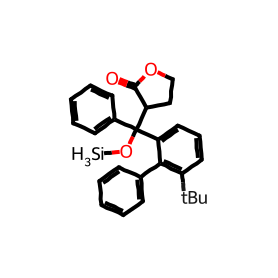 CC(C)(C)c1cccc(C(O[SiH3])(c2ccccc2)C2CCOC2=O)c1-c1ccccc1